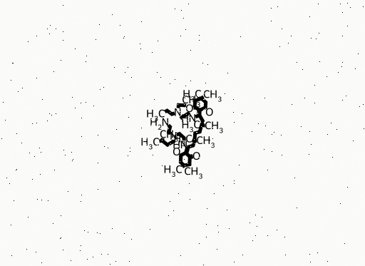 CCCN(CCC)CCNC(CC(C)(C)CCC(C)(C)CC(NCCN(CCN)CCC(C)C)=C1C(=O)CC(C)(C)CC1=O)=C1C(=O)CC(C)(C)CC1=O